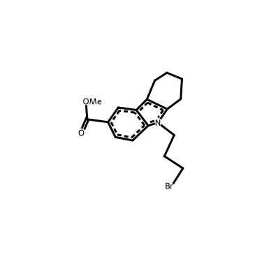 COC(=O)c1ccc2c(c1)c1c(n2CCCBr)CCCC1